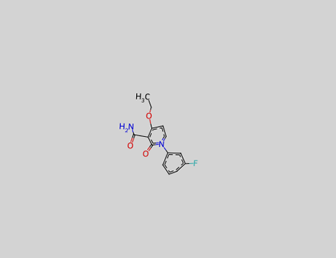 CCOc1ccn(-c2cccc(F)c2)c(=O)c1C(N)=O